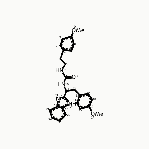 COc1ccc(CCNC(=O)NC(Cc2ccc(OC)cc2)c2nc3ccccc3[nH]2)cc1